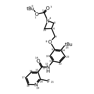 CC(C)(C)OC(=O)N1CC(COc2cc(NC(=O)c3cccnc3F)ccc2C(C)(C)C)C1